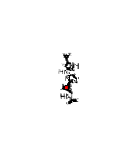 CC(C)NCC12CC(C1)N(c1nccc(Nc3cc(C4CC4)[nH]n3)n1)C2